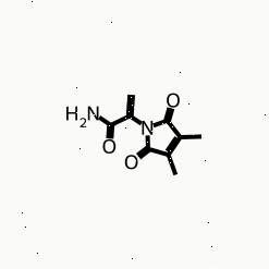 C=C(C(N)=O)N1C(=O)C(C)=C(C)C1=O